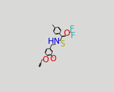 C#CCOc1ccc(CCNC(=S)/C(=C/OC(F)F)c2ccc(C)cc2)cc1OC